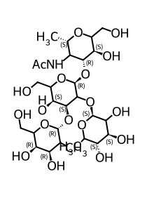 CC(=O)NC1[C@H](C)OC(CO)[C@@H](O)[C@@H]1O[C@@H]1OC(CO)[C@H](O)[C@H](O[C@H]2OC(CO)[C@H](O)[C@H](O)C2C)C1O[C@@H]1OC(C)[C@@H](O)[C@H](O)C1O